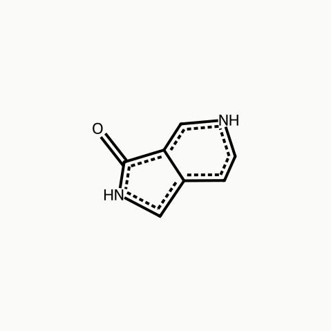 O=c1[nH]cc2cc[nH]cc1-2